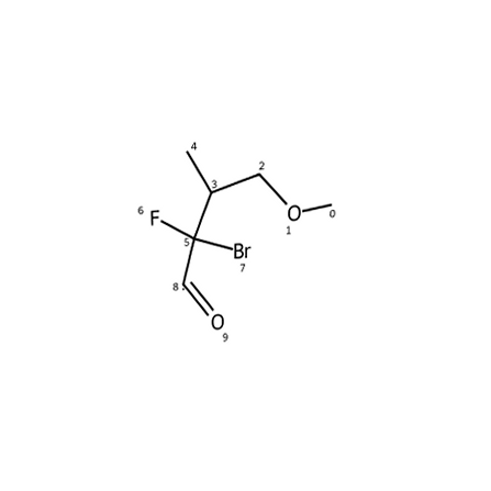 COCC(C)C(F)(Br)[C]=O